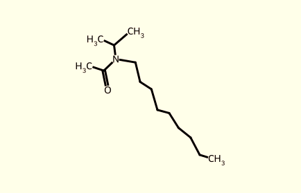 CCCCCCCCCN(C(C)=O)C(C)C